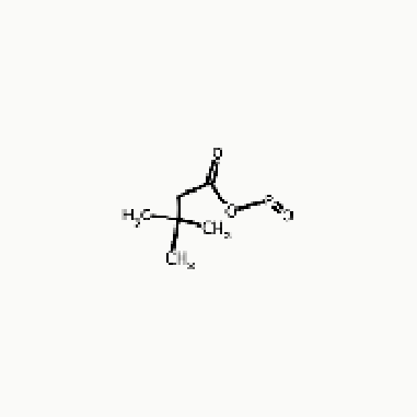 CC(C)(C)CC(=O)OP=O